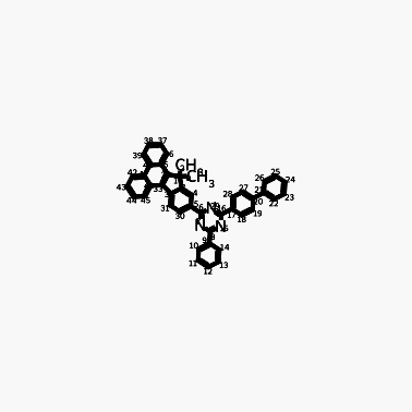 CC1(C)c2cc(-c3nc(-c4ccccc4)nc(-c4ccc(-c5ccccc5)cc4)n3)ccc2-c2c1c1ccccc1c1ccccc21